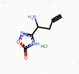 C#CCC(N)c1noc(=O)[nH]1.Cl